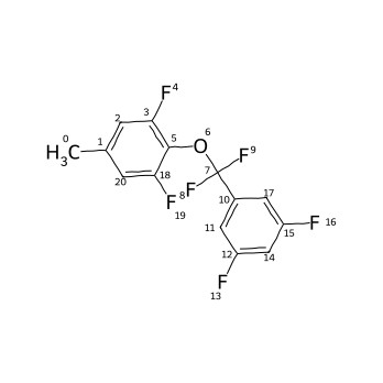 Cc1cc(F)c(OC(F)(F)c2cc(F)cc(F)c2)c(F)c1